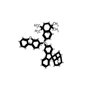 CC1(C)CCC(C)(C)c2cc(N(c3ccc4c(c3)-c3ccccc3C43C4CC5CC6CC3C64C5)c3ccc4c(c3)oc3ccccc34)ccc21